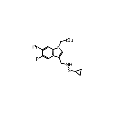 CC(C)c1cc2c(cc1F)c(CNSC1CC1)cn2CC(C)(C)C